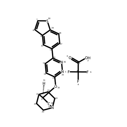 O=C(O)C(F)(F)F.c1cc2cc(-c3ccc(O[C@H]4CN5CCC4CC5)nn3)ccc2s1